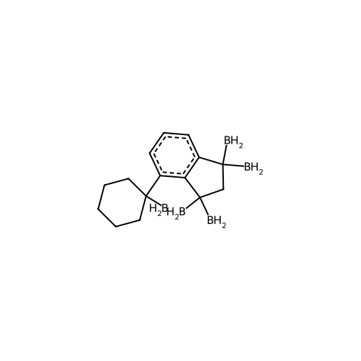 BC1(B)CC(B)(B)c2c1cccc2C1(B)CCCCC1